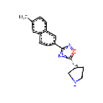 Cc1ccc2cc(-c3noc([C@@H]4CCNC4)n3)ccc2c1